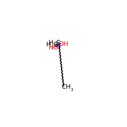 CCCCCCCCCCCCCCCCCCCCCCCCCC=CN(C(C)O)C(C)O